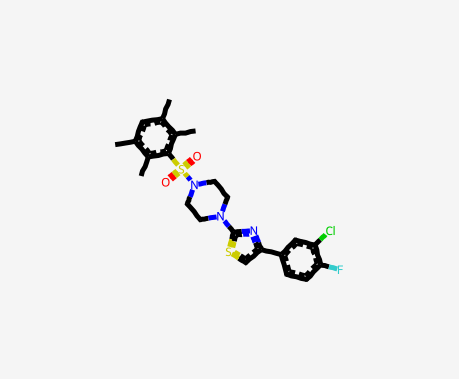 Cc1cc(C)c(C)c(S(=O)(=O)N2CCN(c3nc(-c4ccc(F)c(Cl)c4)cs3)CC2)c1C